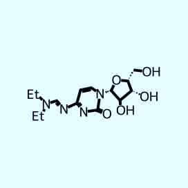 CCN(/C=N/c1ccn([C@@H]2O[C@H](CO)[C@H](O)C2O)c(=O)n1)CC